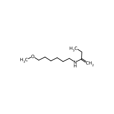 C=C(CC)NCCCCCCOC